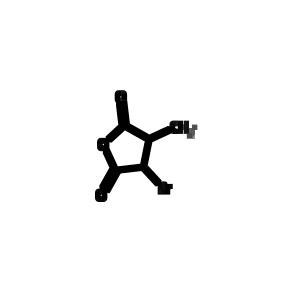 [CH2]C1C(=O)OC(=O)C1Br